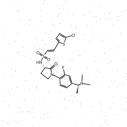 C[C@@H](c1ccc(N2CC[C@H](NS(=O)(=O)C=Cc3ccc(Cl)s3)C2=O)c(F)c1)N(C)C